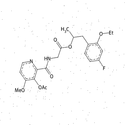 CCOc1cc(F)ccc1CC(C)OC(=O)CNC(=O)c1nccc(OC)c1OC(C)=O